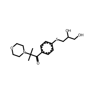 CC(C)(C(=O)c1ccc(SCC(O)CO)cc1)N1CCOCC1